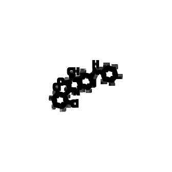 Cn1c(=O)c(-c2c(Cl)cccc2Cl)nc2cnc(Nc3ccccc3)cc21